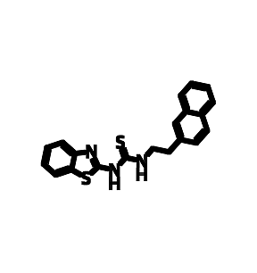 S=C(NCCc1ccc2ccccc2c1)Nc1nc2ccccc2s1